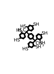 CC(c1ccc(C(C)(c2ccc(S)cc2S)c2ccc(S)cc2S)cc1)(c1ccc(S)cc1S)c1ccc(S)cc1S